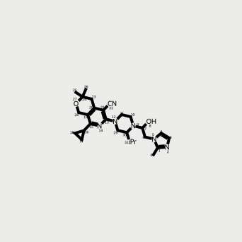 Cc1nccn1CC(O)N1CCN(c2nc(C3CC3)c3c(c2C#N)CC(C)(C)OC3)CC1C(C)C